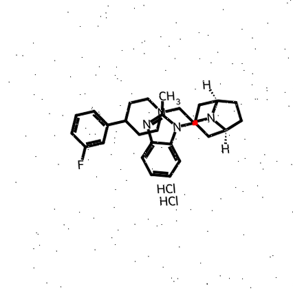 Cc1nc2ccccc2n1C1C[C@H]2CC[C@@H](C1)N2CCN1CCC(c2cccc(F)c2)CC1.Cl.Cl